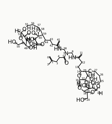 C=C(C)CCC(=O)N(CNC(=C)CCC1O[C@@H]2OC3C(CO)O[C@H](OCCCCC1[C@@H](O)C2O)C(O)[C@@H]3O)CNC(=C)CCC1O[C@@H]2OC3C(CO)O[C@H](OCCCCC1[C@@H](O)C2O)C(O)[C@@H]3O